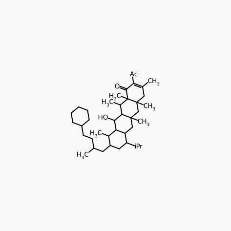 CC(=O)C1=C(C)CC2(C)CC3(C)CC4C(C(C)C)CC(CC(C)CCC5CCCCC5)C(C)C4C(O)C3C(C)C2(C)C1=O